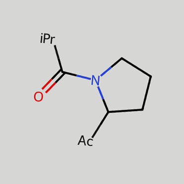 CC(=O)C1CCCN1C(=O)C(C)C